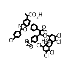 CC(C(=O)O)c1ccc2oc(-c3ccc(Cl)cc3)nc2c1.CS(=O)(=O)c1ccc(C2=C(c3ccccc3)C(=O)OC2)cc1.Oc1c(Cl)cc(Cl)c(Cl)c1Cc1c(O)c(Cl)cc(Cl)c1Cl